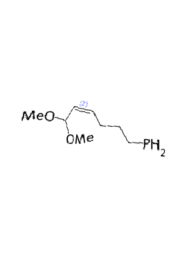 COC(/C=C\CCCP)OC